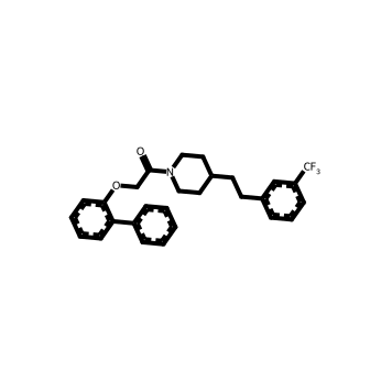 O=C(COc1ccccc1-c1ccccc1)N1CCC(CCc2cccc(C(F)(F)F)c2)CC1